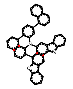 c1ccc(-c2ccc(-c3cccc4ccccc34)cc2N(c2ccc3sc4ccccc4c3c2)c2ccccc2-c2cccc3c2oc2ccccc23)cc1